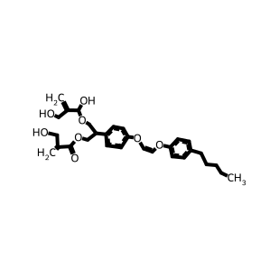 C=C(CO)C(=O)OCC(COC(O)C(=C)CO)c1ccc(O/C=C\Oc2ccc(CCCCC)cc2)cc1